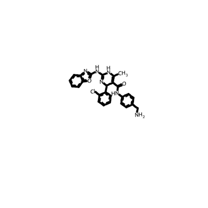 CC1=C(C(=O)Nc2ccc(CN)cc2)C(c2ccccc2Cl)N=C(Nc2nc3ccccc3o2)N1